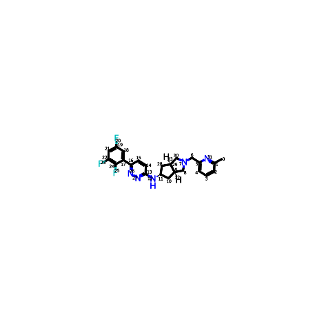 Cc1cccc(CN2C[C@H]3C[C@H](Nc4ccc(-c5cc(F)cc(F)c5F)nn4)C[C@H]3C2)n1